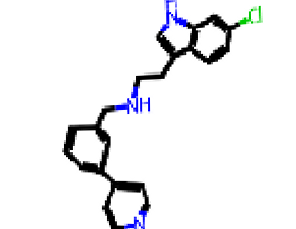 Clc1ccc2c(CCNCc3cccc(-c4ccncc4)c3)c[nH]c2c1